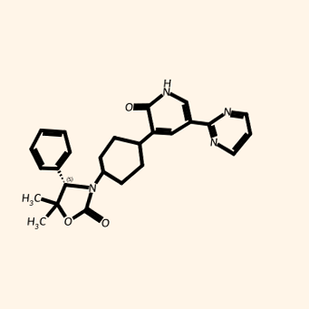 CC1(C)OC(=O)N(C2CCC(c3cc(-c4ncccn4)c[nH]c3=O)CC2)[C@H]1c1ccccc1